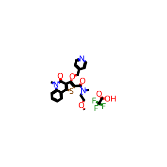 COCCN(C)C(=O)c1sc2c(c1OCc1ccncc1)c(=O)n(C)c1ccccc21.O=C(O)C(F)(F)F